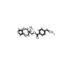 C=Cc1ccc(C(=O)OCC2(C)COc3cscc3OC2)cc1